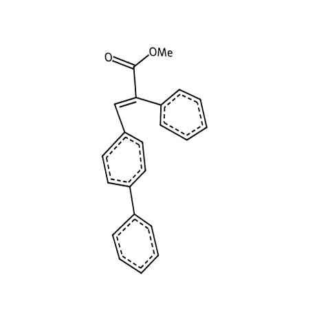 COC(=O)C(=Cc1ccc(-c2ccccc2)cc1)c1ccccc1